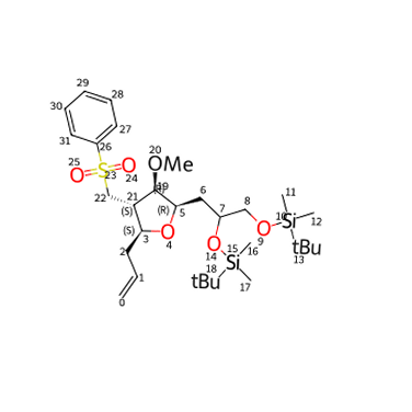 C=CC[C@@H]1O[C@H](CC(CO[Si](C)(C)C(C)(C)C)O[Si](C)(C)C(C)(C)C)[C@H](OC)[C@H]1CS(=O)(=O)c1ccccc1